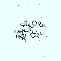 CNC(=O)N(C)N1CCN(Cc2cccc3sc(N)nc23)C(=O)[C@H](Cc2ccc(OC)cc2)NC(=O)C1